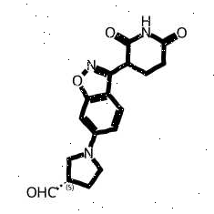 O=C[C@H]1CCN(c2ccc3c(C4CCC(=O)NC4=O)noc3c2)C1